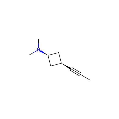 CC#C[C@H]1C[C@@H](N(C)C)C1